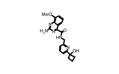 COc1cccc2c(C(=O)NCc3cccc(C4(O)CCC4)n3)nc(N)nc12